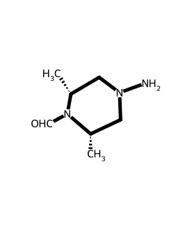 C[C@@H]1CN(N)C[C@H](C)N1C=O